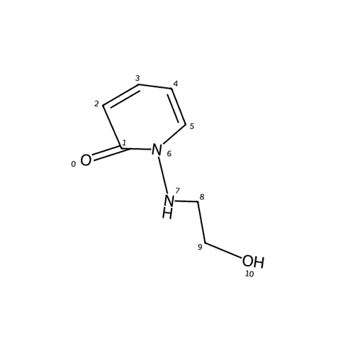 O=c1ccccn1NCCO